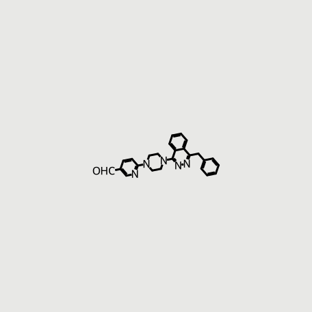 O=Cc1ccc(N2CCN(c3nnc(Cc4ccccc4)c4ccccc34)CC2)nc1